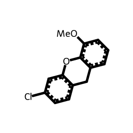 COc1cccc2c1Oc1cc(Cl)ccc1C2